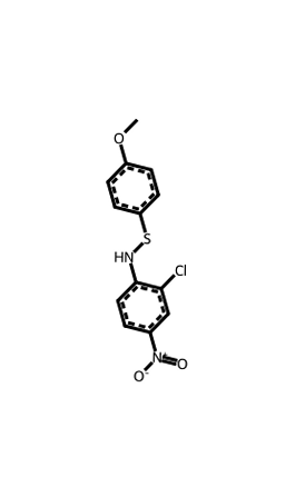 COc1ccc(SNc2ccc([N+](=O)[O-])cc2Cl)cc1